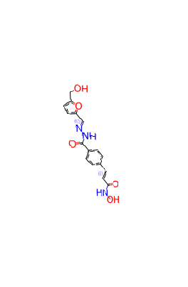 O=C(/C=C/c1ccc(C(=O)N/N=C/c2ccc(CO)o2)cc1)NO